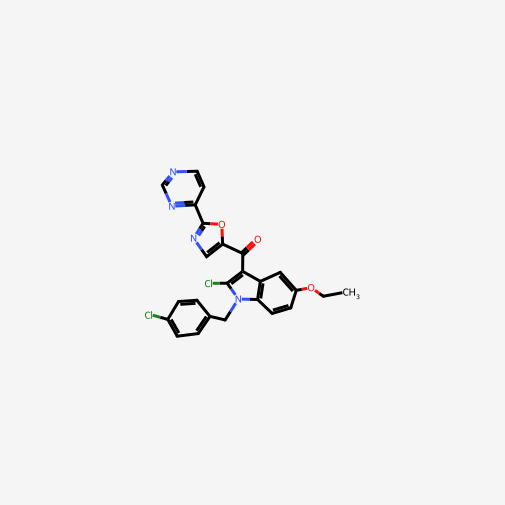 CCOc1ccc2c(c1)c(C(=O)c1cnc(-c3ccncn3)o1)c(Cl)n2Cc1ccc(Cl)cc1